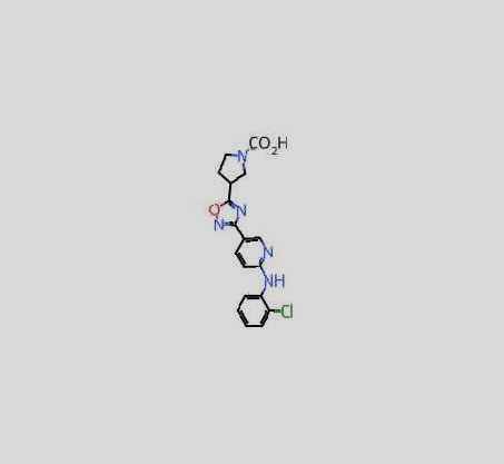 O=C(O)N1CCC(c2nc(-c3ccc(Nc4ccccc4Cl)nc3)no2)C1